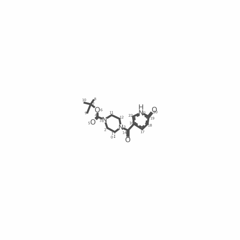 C[C@@H]1CN(C(=O)OC(C)(C)C)CCN1C(=O)c1ccc(=O)[nH]c1